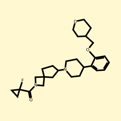 O=C(N1CC2(CCC(N3CCC(c4ccccc4OCC4CCOCC4)CC3)C2)C1)C1(F)CC1